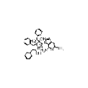 Nc1cc2ncn([C@@H]3O[C@H](C(O)Cc4ccccc4)[C@](O)(Cc4ccccc4)[C@@]3(O)Cc3ccccc3)c2c(N)n1